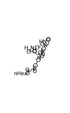 CCCCCCOC(=O)CCC(=O)N1CCC(C2CCN(C(=O)[C@@H](Cc3cc(Cl)c(N)c(C(F)(F)F)c3)OC(=O)N3CCC(N4CCc5ccccc5NC4=O)CC3)CC2)CC1